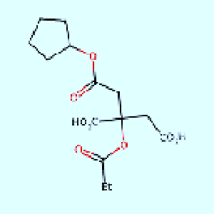 CCC(=O)OC(CC(=O)O)(CC(=O)OC1CCCC1)C(=O)O